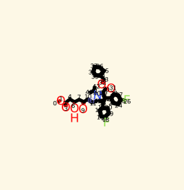 COC(=O)CC(O)CC(=O)/C=C/c1c(-c2ccc(F)cc2)c(-c2ccc(F)cc2)c(C(=O)OCc2ccccc2)n1C(C)C